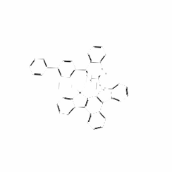 CC1(C)c2ccccc2-c2c1c1c(c3ccccc23)c2ccccc2n1-c1nc(-c2ccc(-c3ccccc3)cc2)c2ccccc2n1